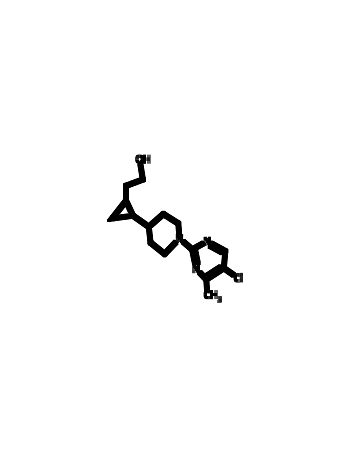 Cc1nc(N2CCC(C3CC3CCO)CC2)ncc1Cl